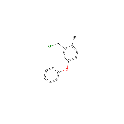 CC(C)c1ccc(Oc2ccccc2)cc1CCl